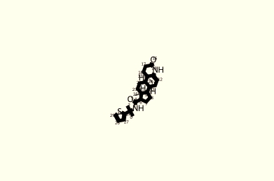 CC(C)(NC(=O)C1CC[C@H]2[C@@H]3CC=C4NC(=O)CC[C@]4(C)[C@@H]3CC[C@]12C)c1cccs1